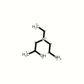 CCN(CCN)CC(C)O